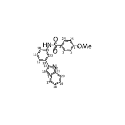 COc1ccc(S(=O)(=O)Nc2cccc(-c3cn4ccccc4n3)c2)cc1